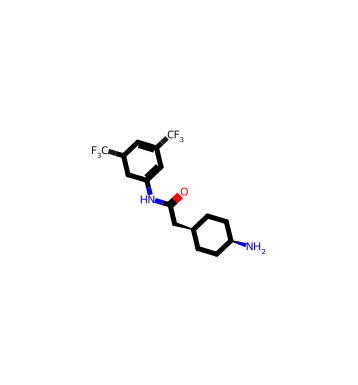 N[C@H]1CC[C@@H](CC(=O)NC2=CC(C(F)(F)F)=CC(C(F)(F)F)C2)CC1